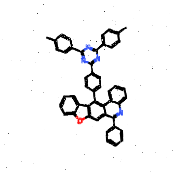 Cc1ccc(-c2nc(-c3ccc(C)cc3)nc(-c3ccc(-c4c5c(cc6c(-c7ccccc7)nc7ccccc7c46)oc4ccccc45)cc3)n2)cc1